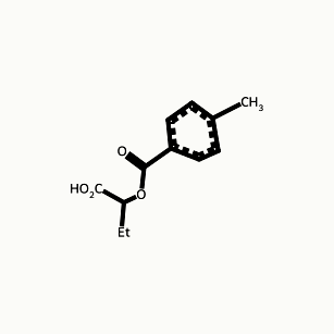 CCC(OC(=O)c1ccc(C)cc1)C(=O)O